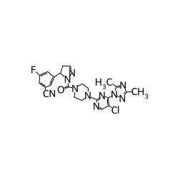 Cc1nc(C)n(-c2nc(N3CCN(C(=O)N4N=CCC4c4cc(F)cc(C#N)c4)CC3)ncc2Cl)n1